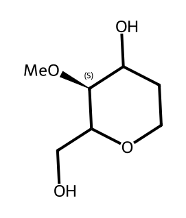 CO[C@H]1C(O)CCOC1CO